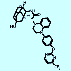 O=C(NC1[C@@H]2CC3C[C@H]1CC(O)(C3)C2)ON1CCN(c2ccc(Oc3nccc(C(F)(F)F)n3)cc2)c2ccccc21